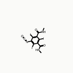 CNC(=O)c1c(I)c(N=C=O)c(I)c(C(=O)NC)c1I